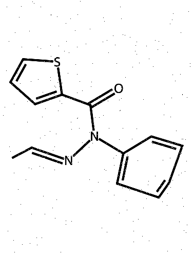 CC=NN(C(=O)c1cccs1)c1ccccc1